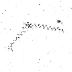 B.CCCCCCCCCCCCCCCC[N+](C)(C)CCCCCCCCCCCCCCCC